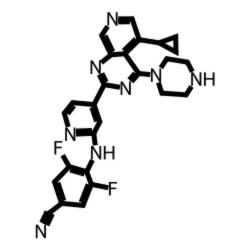 N#Cc1cc(F)c(Nc2cc(-c3nc(N4CCNCC4)c4c(C5CC5)cncc4n3)ccn2)c(F)c1